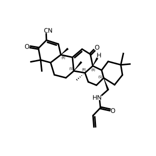 C=CC(=O)NC[C@]12CCC(C)(C)CC1[C@H]1C(=O)C=C3[C@@]4(C)C=C(C#N)C(=O)C(C)(C)C4CC[C@@]3(C)[C@]1(C)CC2